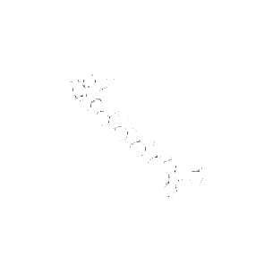 c1ccc(-n2c3ccccc3c3cc(-c4ccc(-c5ccc(-c6ccc(-c7ccc8c(c7)c7ccccc7c7nccnc87)cc6)cc5)cc4)ccc32)cc1